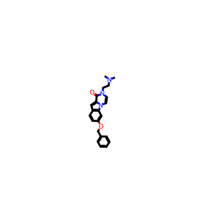 CN(C)CCn1ccn2c(cc3ccc(OCc4ccccc4)cc32)c1=O